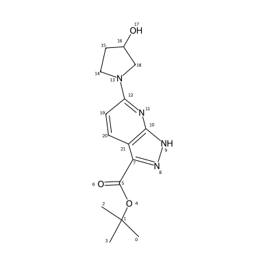 CC(C)(C)OC(=O)c1n[nH]c2nc(N3CCC(O)C3)ccc12